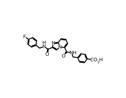 O=C(O)c1ccc(CNC(=O)c2cccc3nc(C(=O)NCc4ccc(F)cc4)cn23)cc1